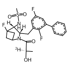 [2H][C@](C)(O)C(=O)N1C2CC(F)(C2)[C@H](NS(C)(=O)=O)[C@@H]1Cc1cc(F)cc(-c2ccccc2)c1F